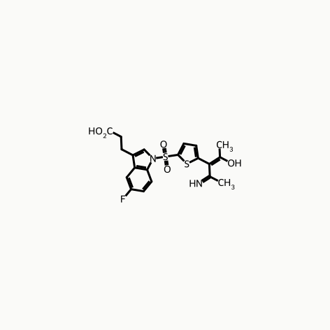 CC(=N)/C(=C(/C)O)c1ccc(S(=O)(=O)n2cc(CCC(=O)O)c3cc(F)ccc32)s1